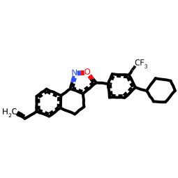 C=Cc1ccc2c(c1)CCc1c-2noc1-c1ccc(C2CCCCC2)c(C(F)(F)F)c1